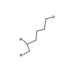 [O]CCCCC(Br)CBr